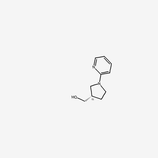 OC[C@H]1CCN(c2ccccn2)C1